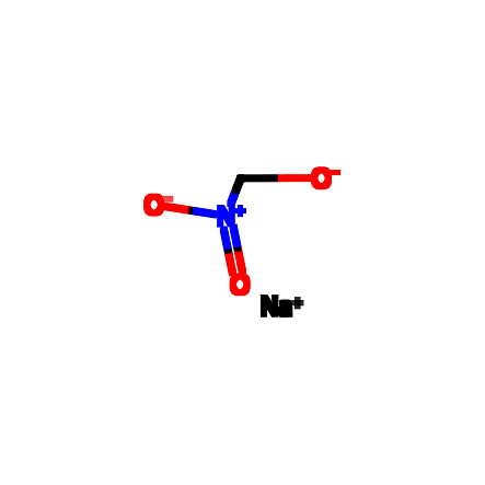 O=[N+]([O-])C[O-].[Na+]